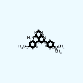 COc1ccc(-c2cc(-c3ccc(N(C)C)cc3)nc3ncnc(N)c23)cc1